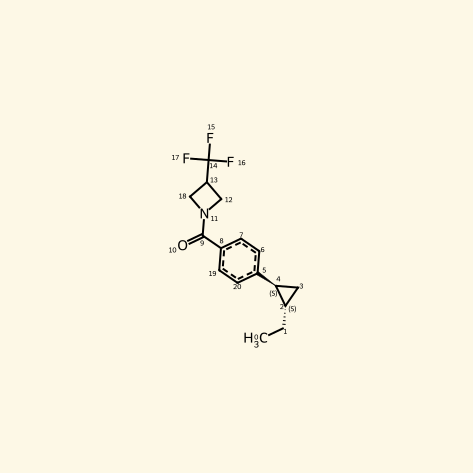 CC[C@H]1C[C@@H]1c1ccc(C(=O)N2CC(C(F)(F)F)C2)cc1